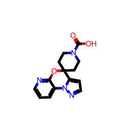 O=C(O)N1CCC2(CC1)Oc1ncccc1-n1nccc12